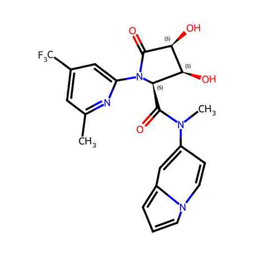 Cc1cc(C(F)(F)F)cc(N2C(=O)[C@@H](O)[C@@H](O)[C@H]2C(=O)N(C)c2ccn3cccc3c2)n1